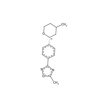 Cc1nc(-c2ccc([C@H]3CC(C)CCO3)cc2)no1